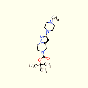 CN1CCN(c2cc3n(n2)CCN(C(=O)OC(C)(C)C)C3)CC1